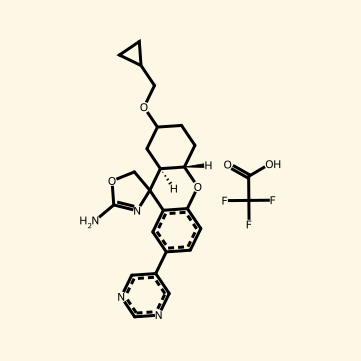 NC1=NC2(CO1)c1cc(-c3cncnc3)ccc1O[C@H]1CCC(OCC3CC3)C[C@@H]12.O=C(O)C(F)(F)F